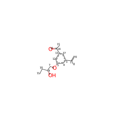 C=C(C)c1cc(OCC(O)CC)cc(C(C)=O)c1